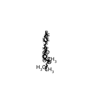 CC(C)=CC[C@H]1O[C@@]1(C)C1OC12CCC(OC(=O)N1CC(CCC3CCN(CC(F)F)CC3)C1)CC2